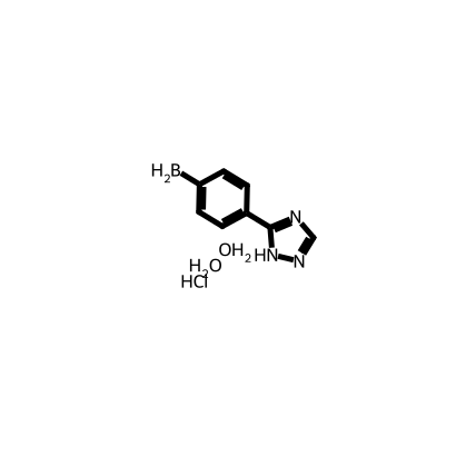 Bc1ccc(-c2ncn[nH]2)cc1.Cl.O.O